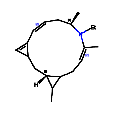 CCN1/C(C)=C\CC2C(C)[C@@H]2CC2C=C2/C=C\C[C@H]1C